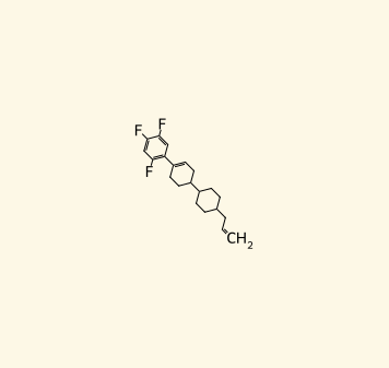 C=CCC1CCC(C2CC=C(c3cc(F)c(F)cc3F)CC2)CC1